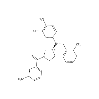 C=C(C1=CC=CC(N)C1)N1CC[C@H](N(CC2=CC=CCC2C(F)(F)F)C2C=CC(N)=C(Cl)C2)C1